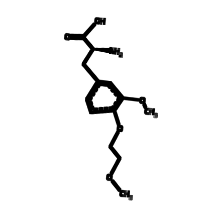 COCCOc1ccc(C[C@H](N)C(=O)O)cc1OC